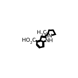 C[C@]1(c2cc3c(C(=O)O)cccc3[nH]2)CCCN1